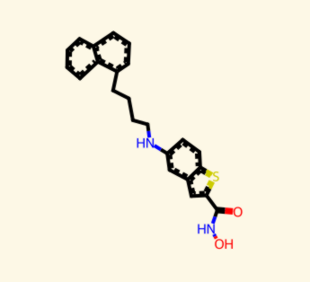 O=C(NO)c1cc2cc(NCCCCc3cccc4ccccc34)ccc2s1